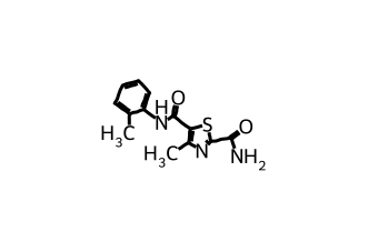 Cc1ccccc1NC(=O)c1sc(C(N)=O)nc1C